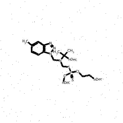 CCCCCCCCCCCCOP(=S)(OCCCCCCCCCC)SCN(Cn1nnc2cc(C)ccc21)C(C)(C)CCCCCCCCCC